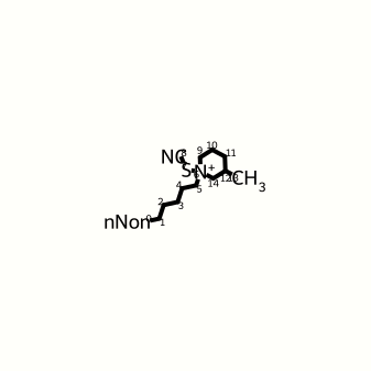 CCCCCCCCCCCCCC[N+]1(SC#N)CCCC(C)C1